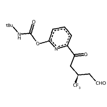 CC(C)(C)NC(=O)Oc1cccc(C(=O)C[C@@H](CC=O)C(F)(F)F)n1